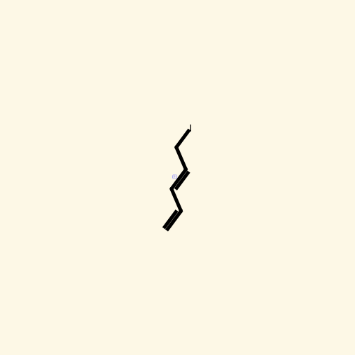 C=C/C=C/CI